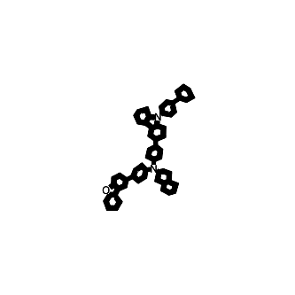 c1ccc(-c2ccc(-n3c4ccccc4c4cc(-c5ccc(N(c6ccc(-c7ccc8oc9ccccc9c8c7)cc6)c6ccc7ccccc7c6)cc5)ccc43)cc2)cc1